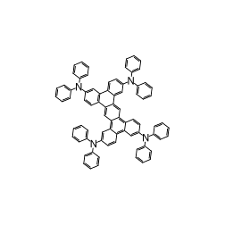 c1ccc(N(c2ccccc2)c2ccc3c(c2)c2ccc(N(c4ccccc4)c4ccccc4)cc2c2cc4c5ccc(N(c6ccccc6)c6ccccc6)cc5c5ccc(N(c6ccccc6)c6ccccc6)cc5c4cc32)cc1